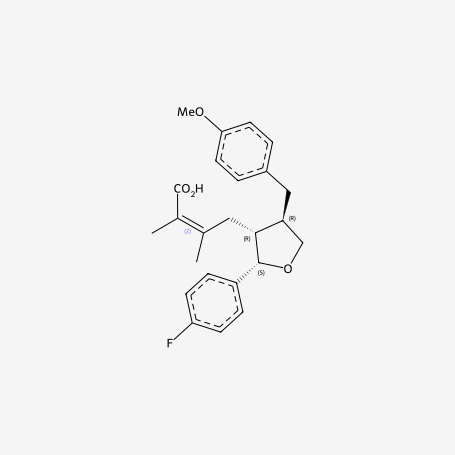 COc1ccc(C[C@H]2CO[C@H](c3ccc(F)cc3)[C@@H]2C/C(C)=C(/C)C(=O)O)cc1